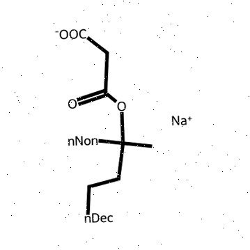 CCCCCCCCCCCCC(C)(CCCCCCCCC)OC(=O)CC(=O)[O-].[Na+]